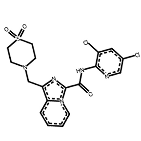 O=C(Nc1ncc(Cl)cc1Cl)c1nc(CN2CCS(=O)(=O)CC2)c2ccccn12